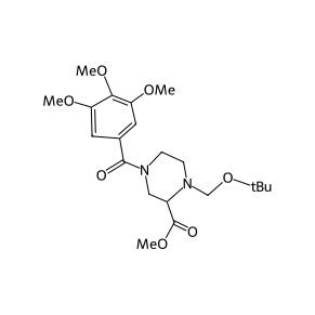 COC(=O)C1CN(C(=O)c2cc(OC)c(OC)c(OC)c2)CCN1COC(C)(C)C